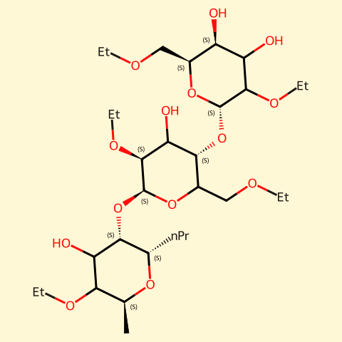 CCC[C@@H]1O[C@@H](C)C(OCC)C(O)[C@@H]1O[C@@H]1OC(COCC)[C@@H](O[C@@H]2O[C@@H](COCC)[C@@H](O)C(O)C2OCC)C(O)[C@@H]1OCC